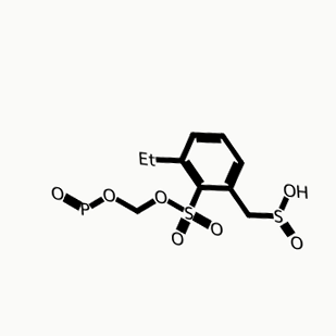 CCc1cccc(CS(=O)O)c1S(=O)(=O)OCOP=O